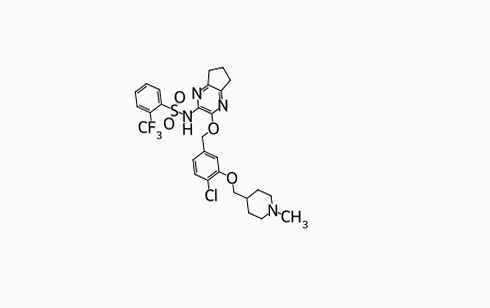 CN1CCC(COc2cc(COc3nc4c(nc3NS(=O)(=O)c3ccccc3C(F)(F)F)CCC4)ccc2Cl)CC1